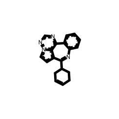 C1=CCC(C2=Nc3ccccc3-c3ncnn4ccc2c34)CC1